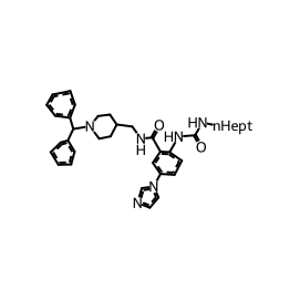 CCCCCCCNC(=O)Nc1ccc(-n2ccnc2)cc1C(=O)NCC1CCN(C(c2ccccc2)c2ccccc2)CC1